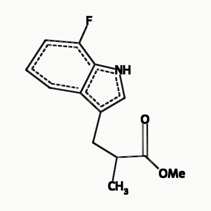 COC(=O)C(C)Cc1c[nH]c2c(F)cccc12